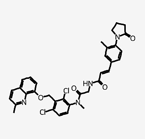 Cc1ccc2cccc(OCc3c(Cl)ccc(N(C)C(=O)CNC(=O)/C=C/c4ccc(N5CCCC5=O)c(C)c4)c3Cl)c2n1